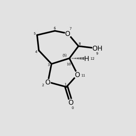 O=C1OC2CCCOC(O)[C@H]2O1